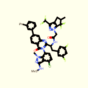 CSNc1nn(C)c2c(-n3c(C(Cc4cc(F)cc(F)c4)NC(=O)Cn4nc(C(F)F)c5c4C(F)(F)C(C)C5)nc4cc(-c5cccc(C(C)C)c5)ccc4c3=O)ccc(Cl)c12